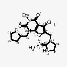 CCn1c(=O)c2c(C)c(CN3CCN/C3=N\C)sc2n(CC2CCCO2)c1=O